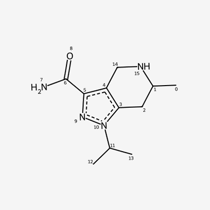 CC1Cc2c(c(C(N)=O)nn2C(C)C)CN1